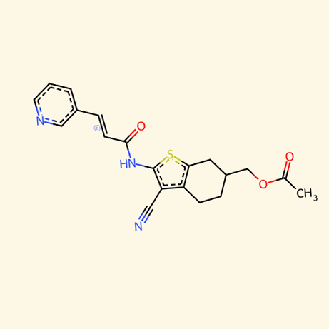 CC(=O)OCC1CCc2c(sc(NC(=O)/C=C/c3cccnc3)c2C#N)C1